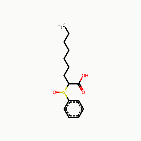 CCCCCCCC(C(=O)O)[S+]([O-])c1ccccc1